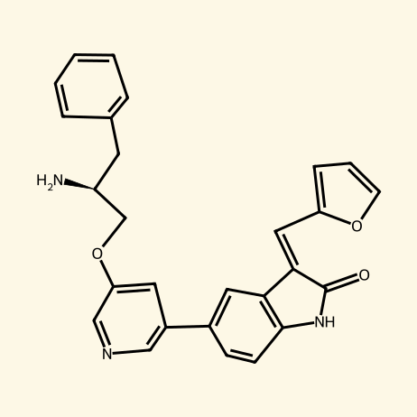 N[C@H](COc1cncc(-c2ccc3c(c2)/C(=C/c2ccco2)C(=O)N3)c1)Cc1ccccc1